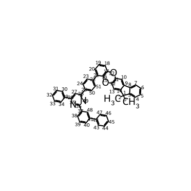 CC1(C)c2ccccc2-c2cc3c(cc21)Oc1c(cccc1-c1ccc(-c2cc(-c4ccccc4)nc(-c4cccc(-c5ccccc5)c4)n2)cc1)O3